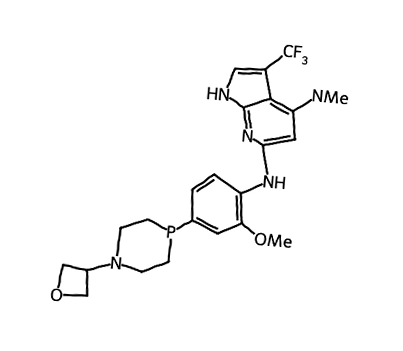 CNc1cc(Nc2ccc(P3CCN(C4COC4)CC3)cc2OC)nc2[nH]cc(C(F)(F)F)c12